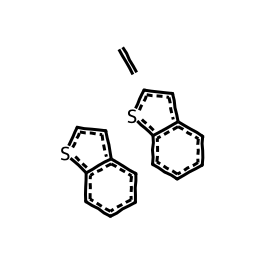 C=C.c1ccc2sccc2c1.c1ccc2sccc2c1